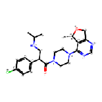 CC(C)NCC(C(=O)N1CCN(c2ncnc3c2[C@H](C)OC3)CC1)c1ccc(Cl)cc1